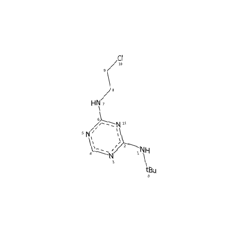 CC(C)(C)Nc1ncnc(NCCCl)n1